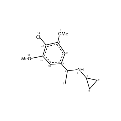 COc1cc(C(C)NC2CC2)cc(OC)c1Cl